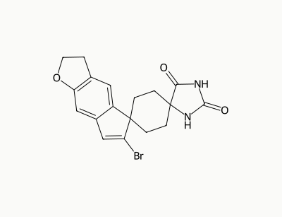 O=C1NC(=O)C2(CCC3(CC2)C(Br)=Cc2cc4c(cc23)CCO4)N1